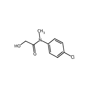 CN(C(=O)CO)c1ccc(Cl)cc1